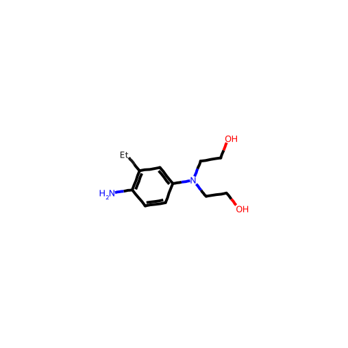 CCc1cc(N(CCO)CCO)ccc1N